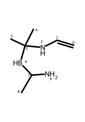 C=CNC(C)(C)BC(C)N